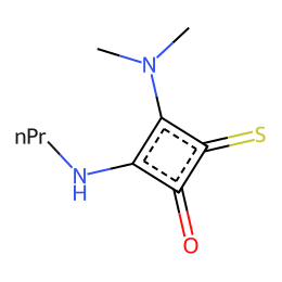 CCCNc1c(N(C)C)c(=S)c1=O